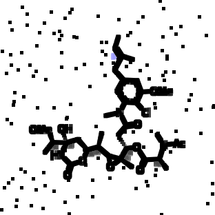 C/C=C(\C)Cc1cc(OC)c(Cl)c(N(C)C(=O)C[C@H](OC(=O)[C@H](C)N(C)C(C)=O)[C@]2(C)OC2[C@H](C)[C@@H]2C[C@](O)([C@@H](C)OC)NC(=O)O2)c1